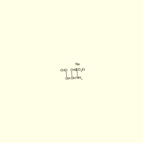 CCOC(N)=O.O=CO.O=CO.[Na]